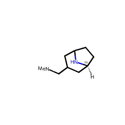 CNCC1CC2CC[C@@H](C1)N2